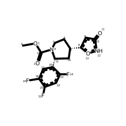 COC(=O)N1CC[C@H](c2cc(=O)[nH]o2)C[C@@H]1c1cc(F)c(F)cc1F